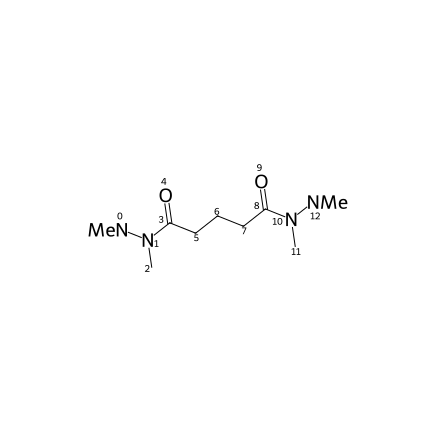 CNN(C)C(=O)CCCC(=O)N(C)NC